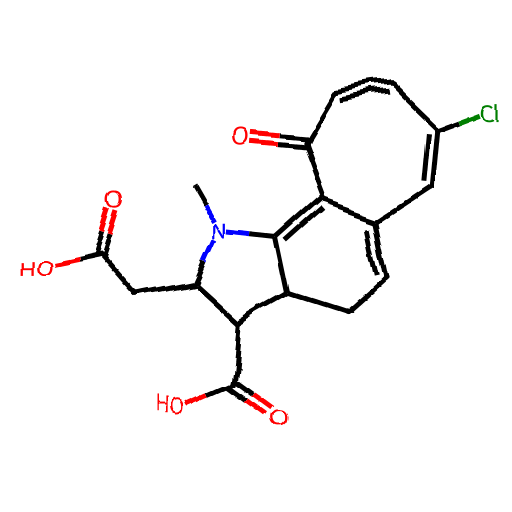 CN1C2=c3c(=O)ccc(Cl)cc3=CCC2C(C(=O)O)C1CC(=O)O